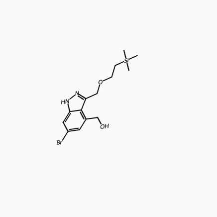 C[Si](C)(C)CCOCc1n[nH]c2cc(Br)cc(CO)c12